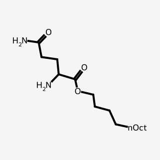 CCCCCCCCCCCCOC(=O)C(N)CCC(N)=O